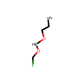 CCCCCOBOCF